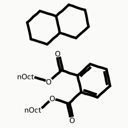 C1CCC2CCCCC2C1.CCCCCCCCOC(=O)c1ccccc1C(=O)OCCCCCCCC